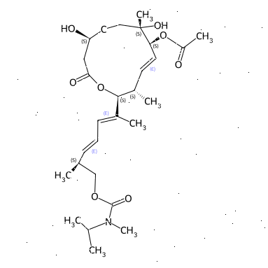 CC(=O)O[C@H]1/C=C/[C@H](C)[C@@H](/C(C)=C/C=C/[C@H](C)COC(=O)N(C)C(C)C)OC(=O)C[C@@H](O)CC[C@]1(C)O